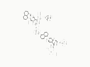 CC1CC(O)CCN(c2nc(OCC34CCCN3CCC4)nc3c(F)c(-c4cccc5c(C6CCC7(COc8nc(NCCc9c[nH]nn9)c9cnc(-c%10cccc%11cccc(F)c%10%11)c(F)c9n8)CCCN67)ccc(F)c45)ncc23)C1